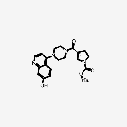 CC(C)(C)OC(=O)N1CC[C@H](C(=O)N2CCN(c3ccnc4cc(O)ccc34)CC2)C1